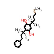 CSCCCC(C)(C)c1cc(O)c(C(C)(C)CCc2ccccc2)cc1O